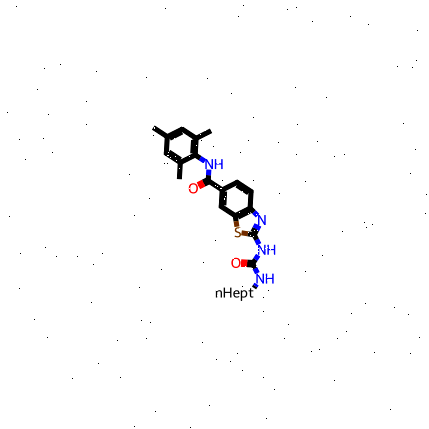 CCCCCCCNC(=O)Nc1nc2ccc(C(=O)Nc3c(C)cc(C)cc3C)cc2s1